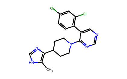 Cc1[nH]cnc1C1CCN(c2ncncc2-c2ccc(Cl)cc2Cl)CC1